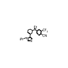 CCN(c1ccc(C#N)c(C(F)(F)F)c1)C1CCC=C(c2cncn2CC(C)C)C1